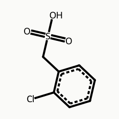 O=S(=O)(O)Cc1ccccc1Cl